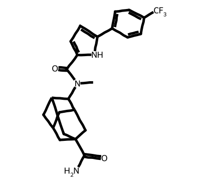 CN(C(=O)c1ccc(-c2ccc(C(F)(F)F)cc2)[nH]1)C1C2CC3CC1CC(C(N)=O)(C3)C2